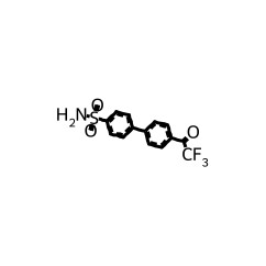 NS(=O)(=O)c1ccc(-c2ccc(C(=O)C(F)(F)F)cc2)cc1